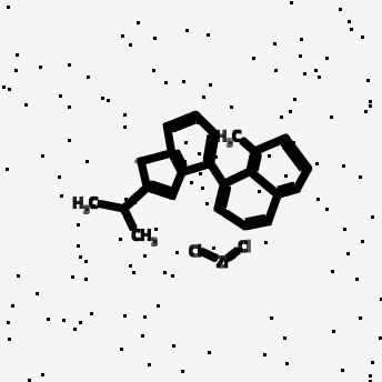 Cc1cccc2cccc(-c3cccc4c3C=C(C(C)C)[CH]4)c12.[Cl][Zr][Cl]